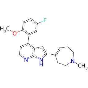 COc1ccc(F)cc1-c1ccnc2[nH]c(C3=CCCN(C)CC3)cc12